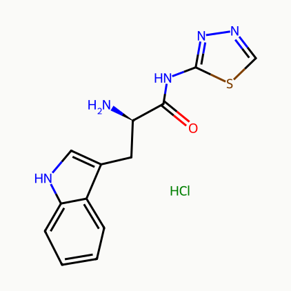 Cl.N[C@H](Cc1c[nH]c2ccccc12)C(=O)Nc1nncs1